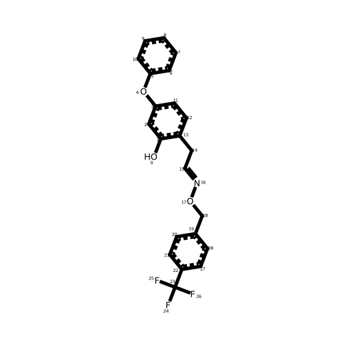 Oc1cc(Oc2[c]cccc2)ccc1CC=NOCc1ccc(C(F)(F)F)cc1